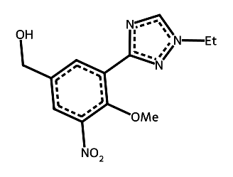 CCn1cnc(-c2cc(CO)cc([N+](=O)[O-])c2OC)n1